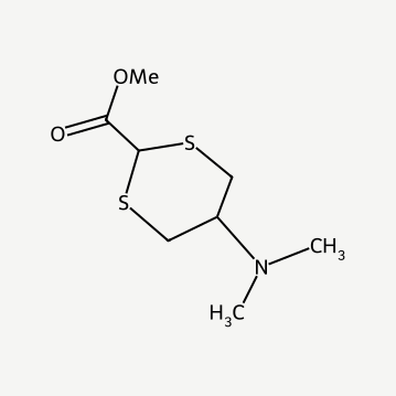 COC(=O)C1SCC(N(C)C)CS1